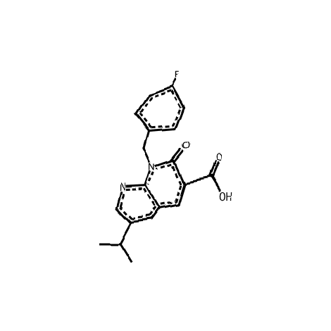 CC(C)c1cnc2c(c1)cc(C(=O)O)c(=O)n2Cc1ccc(F)cc1